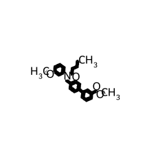 CCCCC(=O)N(Cc1ccc(-c2cccc(C(=O)OC)c2)cc1)c1cccc(OC)c1